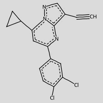 C#Cc1cnn2c(C3CC3)cc(-c3ccc(Cl)c(Cl)c3)nc12